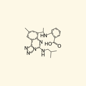 Cc1cc(C(C)Nc2ccccc2C(=O)O)c2nc(NCC(C)C)n3cnnc3c2c1